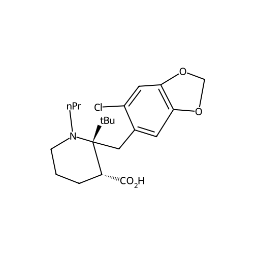 CCCN1CCC[C@@H](C(=O)O)[C@]1(Cc1cc2c(cc1Cl)OCO2)C(C)(C)C